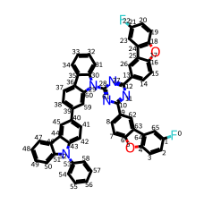 Fc1ccc2oc3ccc(-c4nc(-c5ccc6oc7ccc(F)cc7c6c5)nc(-n5c6ccccc6c6ccc(-c7ccc8c(c7)c7ccccc7n8-c7ccccc7)cc65)n4)cc3c2c1